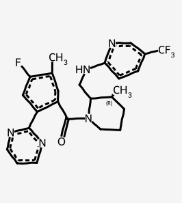 Cc1cc(C(=O)N2CCC[C@@H](C)C2CNc2ccc(C(F)(F)F)cn2)c(-c2ncccn2)cc1F